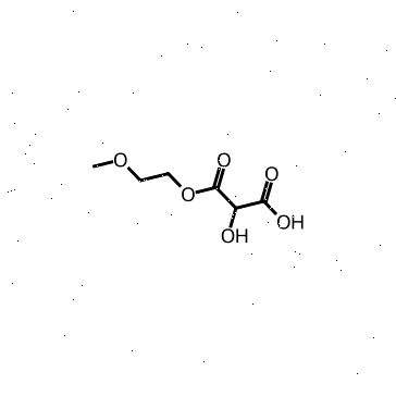 COCCOC(=O)C(O)C(=O)O